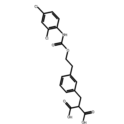 O=C(Nc1ccc(Cl)cc1Cl)OCCc1cccc(CC(C(=O)O)C(=O)O)c1